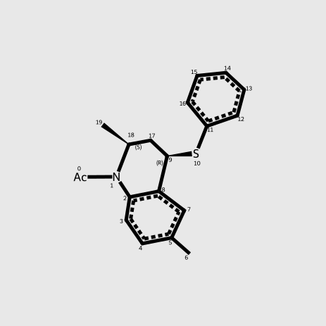 CC(=O)N1c2ccc(C)cc2[C@H](Sc2ccccc2)C[C@@H]1C